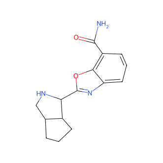 NC(=O)c1cccc2nc(C3NCC4CCCC43)oc12